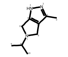 Cc1n[nH]c2c1CN(C(C)C)C2